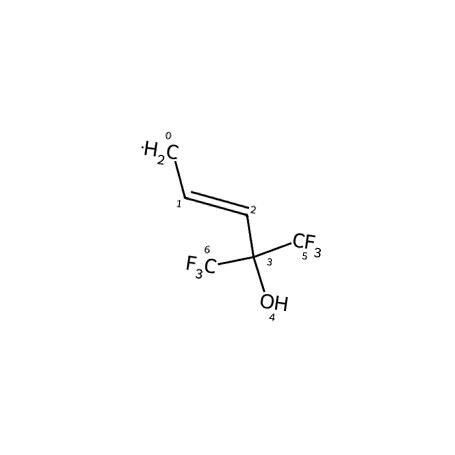 [CH2]C=CC(O)(C(F)(F)F)C(F)(F)F